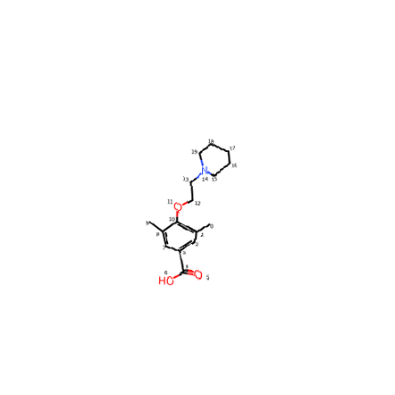 Cc1cc(C(=O)O)cc(C)c1OCCN1CCCCC1